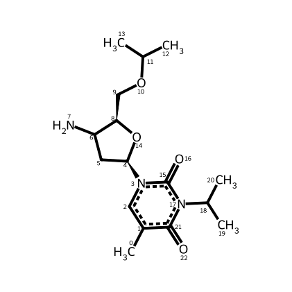 Cc1cn([C@H]2CC(N)[C@@H](COC(C)C)O2)c(=O)n(C(C)C)c1=O